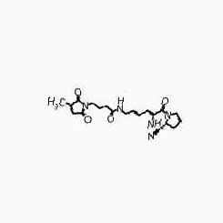 CC1CC(=O)N(CCCC(=O)NCCCC[C@H](N)C(=O)N2CCC[C@H]2C#N)C1=O